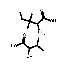 CC(C)(CO)C(N)C(=O)O.CC(C)C(O)C(=O)O